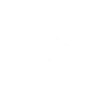 Cc1nc2ccccc2n1-c1cccc2c(-c3cccc4c3-c3ccccc3C43CCCC3)c3cccc(-n4c(C)nc5ccccc54)c3cc12